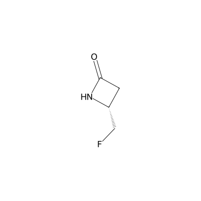 O=C1C[C@H](CF)N1